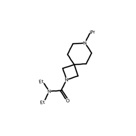 CCN(CC)C(=O)N1CC2(CCN(C(C)C)CC2)C1